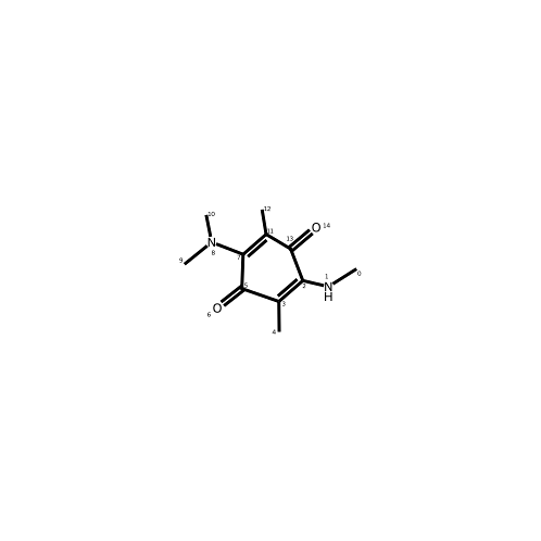 CNC1=C(C)C(=O)C(N(C)C)=C(C)C1=O